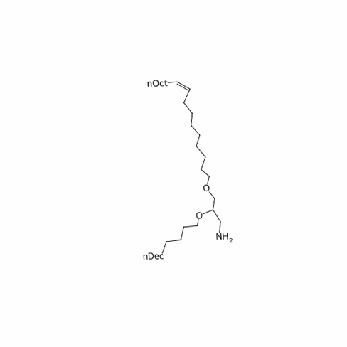 CCCCCCCC/C=C\CCCCCCCCOCC(CN)OCCCCCCCCCCCCCC